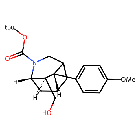 COc1ccc([C@H]2C3CCC[C@@H]([C@@H]2CO)N(C(=O)OC(C)(C)C)C3)cc1